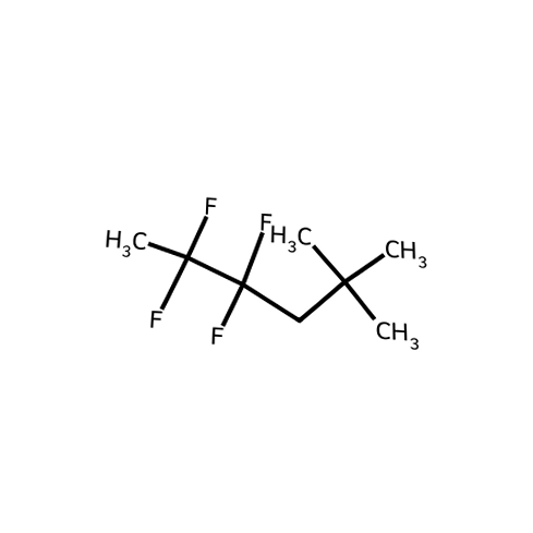 CC(C)(C)CC(F)(F)C(C)(F)F